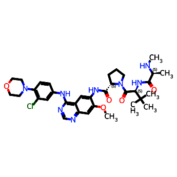 CN[C@@H](C)C(=O)N[C@H](C(=O)N1CCC[C@H]1C(=O)Nc1cc2c(Nc3ccc(N4CCOCC4)c(Cl)c3)ncnc2cc1OC)C(C)(C)C